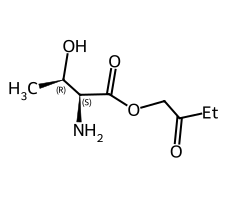 CCC(=O)COC(=O)[C@@H](N)[C@@H](C)O